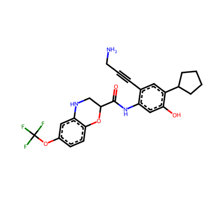 NCC#Cc1cc(C2CCCC2)c(O)cc1NC(=O)C1CNc2cc(OC(F)(F)F)ccc2O1